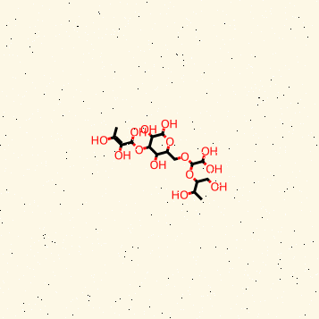 C/C(O)=C(/O)C(O)OC1C(O)C(O)OC(COC(OC(CO)C(C)O)C(O)O)C1O